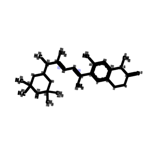 CN1C(=O)CCc2cc(/C(N)=C/C=C(\N)N(C)C3CC(C)(C)NC(C)(C)C3)c(O)cc21